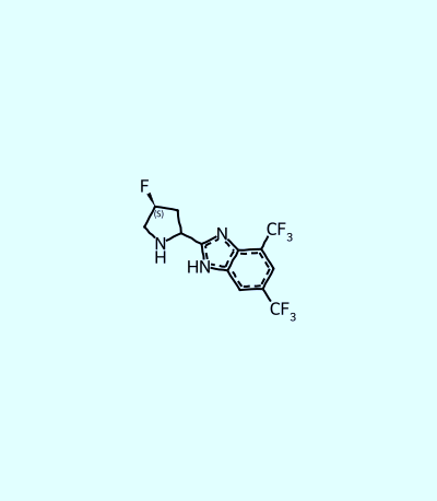 F[C@@H]1CNC(c2nc3c(C(F)(F)F)cc(C(F)(F)F)cc3[nH]2)C1